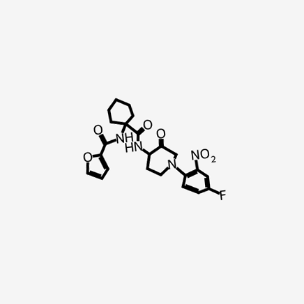 O=C(NC1(C(=O)NC2CCN(c3ccc(F)cc3[N+](=O)[O-])CC2=O)CCCCC1)c1ccco1